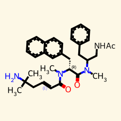 CC(=O)NCC(Cc1ccccc1)N(C)C(=O)[C@@H](Cc1ccc2ccccc2c1)N(C)C(=O)/C=C/CC(C)(C)N